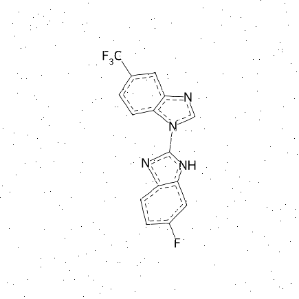 Fc1ccc2nc(-n3cnc4cc(C(F)(F)F)ccc43)[nH]c2c1